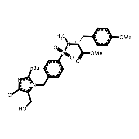 CCCCc1nc(Cl)c(CO)n1Cc1ccc(S(=O)(=O)N(C)[C@H](Cc2ccc(OC)cc2)C(=O)OC)cc1